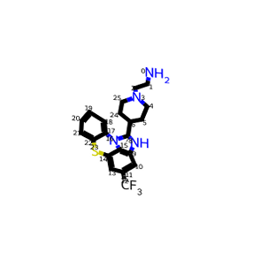 NCCN1CCC(C2Nc3cc(C(F)(F)F)cc4c3N2c2ccccc2S4)CC1